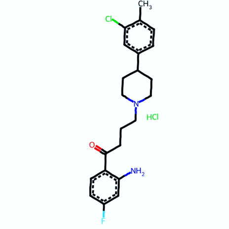 Cc1ccc(C2CCN(CCCC(=O)c3ccc(F)cc3N)CC2)cc1Cl.Cl